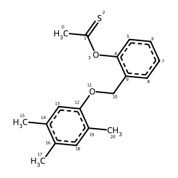 CC(=S)Oc1ccccc1COc1cc(C)c(C)cc1C